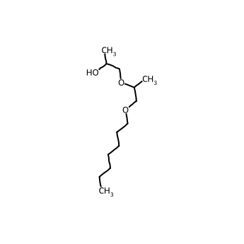 CCCCCCCOCC(C)OCC(C)O